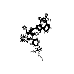 CCCc1c(Cc2ccc(-c3ccccc3-c3noc(=O)[nH]3)cc2)c(=O)n(C2CCC(OCC(C)(O)CF)CC2)c2ncnn12.[KH]